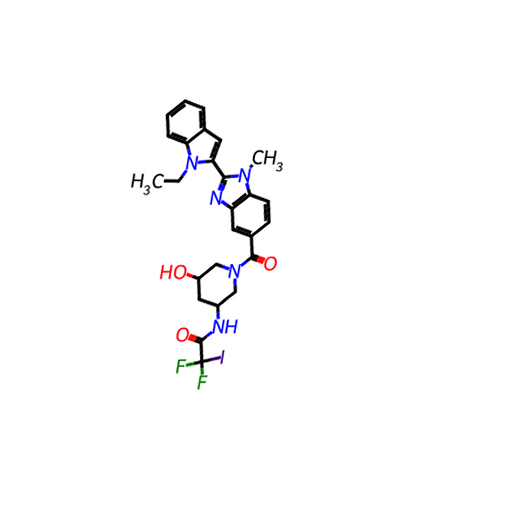 CCn1c(-c2nc3cc(C(=O)N4CC(O)CC(NC(=O)C(F)(F)I)C4)ccc3n2C)cc2ccccc21